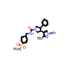 CNS(=O)(=O)c1ccc(CNC(=O)N2CC(c3ccccc3)C(c3cn(C(C)C)nc3C(C)(C)C)C2)cc1